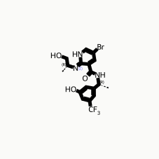 C[C@H](CO)/N=c1\[nH]cc(Br)cc1C(=O)N[C@H](C)c1cc(O)cc(C(F)(F)F)c1